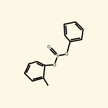 Cc1ccccc1OS(=O)Oc1ccccc1